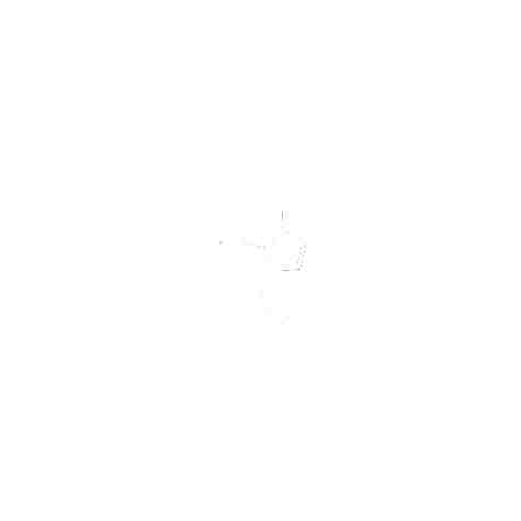 CCCCCCCCCCCn1cc[n+](CCC)c1CCCCCCCCCC